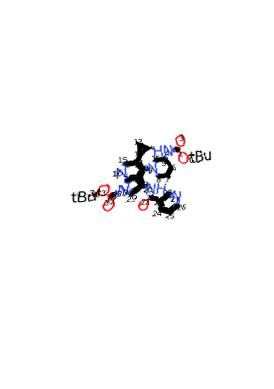 CC(C)(C)OC(=O)NC1CCCN(c2c(C3CC3)cnc3c2c(NC(=O)c2cccnc2)cn3C(=O)OC(C)(C)C)C1